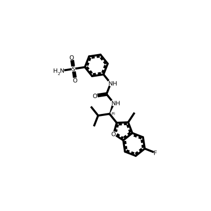 Cc1c([C@H](NC(=O)Nc2cccc(S(N)(=O)=O)c2)C(C)C)oc2ccc(F)cc12